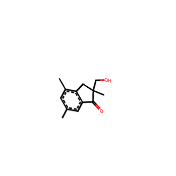 Cc1cc(C)c2c(c1)C(=O)C(C)(CO)C2